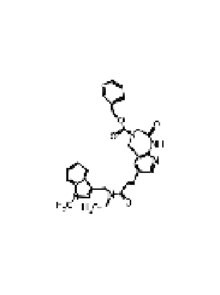 CCN(Cc1cn(C)c2ccccc12)C(=O)C=Cc1cnc2c(c1)CN(C(=O)OCc1ccccc1)CC(=O)N2